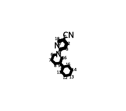 N#Cc1ccc(N2CCCC(C3CCCCC3)C2)nc1